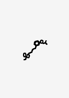 CCC(=O)OCCCCc1cccc(OCC(C)C)c1